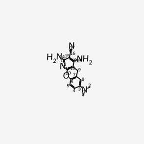 CN(C)c1ccc2c(c1)Cc1c(nc(N)c(C#N)c1N)O2